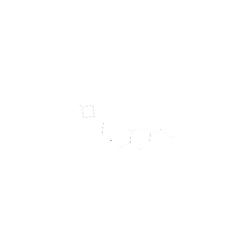 CN1CC(CCC(C)(C)CC2COC(CC(C)(C)C)CN2C)C1